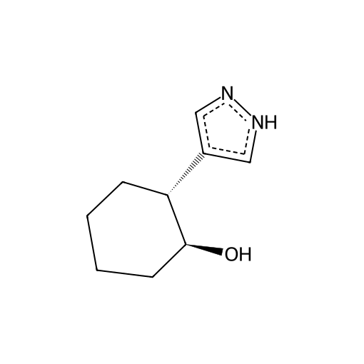 O[C@H]1CCCC[C@@H]1c1cn[nH]c1